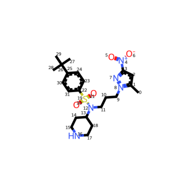 Cc1cc([N+](=O)[O-])nn1CCCN(C1CCNCC1)S(=O)(=O)c1ccc(C(C)(C)C)cc1